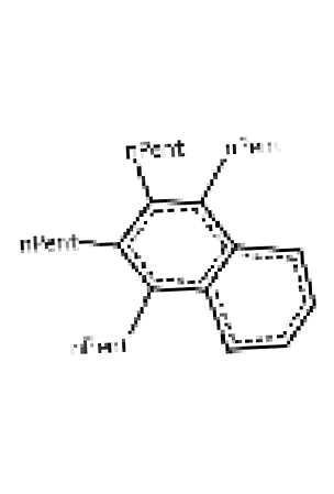 CCCCCc1c(CCCCC)c(CCCCC)c2ccccc2c1CCCCC